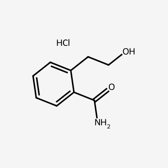 Cl.NC(=O)c1ccccc1CCO